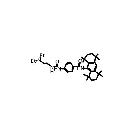 CCN(CC)CCNC(=O)Nc1ccc(C(=O)Nc2c3c(cc4c2C(C)(C)CCC4(C)C)C(C)(C)CCC3(C)C)cc1